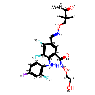 CNC(=O)C(C)(C)CON=Cc1cc(C(=O)NOCCO)c(Nc2ccc(I)cc2F)c(F)c1F